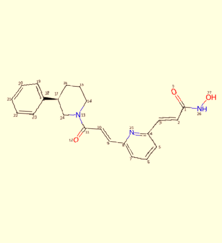 O=C(/C=C/c1cccc(/C=C/C(=O)N2CCC[C@H](c3ccccc3)C2)n1)NO